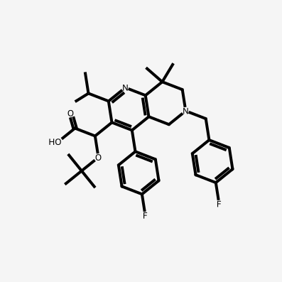 CC(C)c1nc2c(c(-c3ccc(F)cc3)c1C(OC(C)(C)C)C(=O)O)CN(Cc1ccc(F)cc1)CC2(C)C